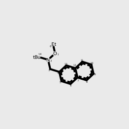 CCON(Cc1ccc2ccccc2c1)C(C)(C)C